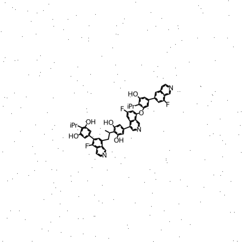 CC(C)c1c(O)cc(-c2cc(CC(C)c3c(O)cc(-c4cncc5c(Oc6cc(-c7cc(F)c8cnccc8c7)cc(O)c6C(C)C)cc(F)cc45)cc3O)c3cnccc3c2F)cc1O